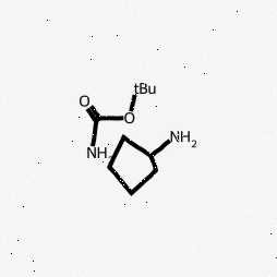 CC(C)(C)OC(N)=O.NC1CCCC1